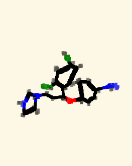 Nc1ccc(OC(CCn2ccnc2)c2ccc(Cl)cc2Cl)cc1